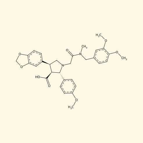 COc1ccc([C@@H]2[C@@H](C(=O)O)[C@@H](c3ccc4c(c3)OCO4)CN2CC(=O)N(C)Cc2ccc(OC)c(OC)c2)cc1